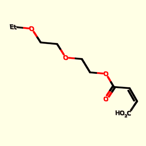 CCOCCOCCOC(=O)/C=C\C(=O)O